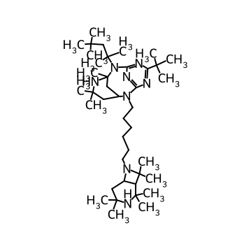 CC(C)(C)CC(C)(C)N1c2nc(nc(C(C)(C)C)n2)N(CCCCCCN2C3CC(C)(C)NC(C)(C)C3C2(C)C)C2CC(C)(C)NC1(C)C2